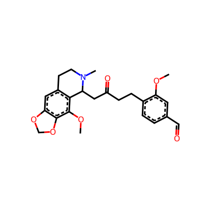 COc1cc(C=O)ccc1CCC(=O)CC1c2c(cc3c(c2OC)OCO3)CCN1C